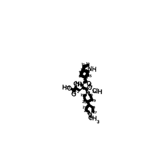 CC(C[C@@H](NC(=O)c1ccc2cc[nH]c2c1)C(=O)N1CCC(C2CCN(C)CC2)CC1)C(=O)O.Cl